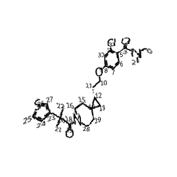 CN(C)C(=O)c1ccc(OCC[C@@H]2CC23CCN(C(=O)C(C)(C)c2ccsc2)CC3)cc1Cl